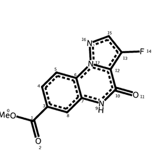 COC(=O)c1ccc2c(c1)[nH]c(=O)c1c(F)cnn12